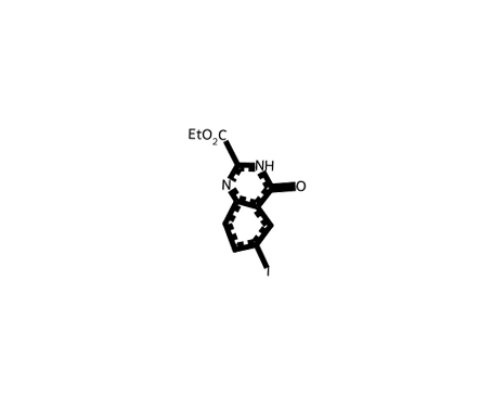 CCOC(=O)c1nc2ccc(I)cc2c(=O)[nH]1